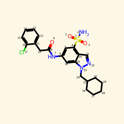 NS(=O)(=O)c1cc(NC(=O)Cc2ccccc2Cl)cc2c1cnn2CC1CCCCC1